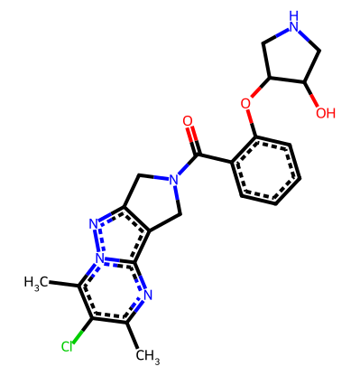 Cc1nc2c3c(nn2c(C)c1Cl)CN(C(=O)c1ccccc1OC1CNCC1O)C3